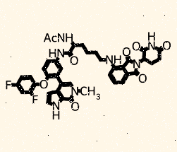 CC(=O)NC(CCCCNc1cccc2c1C(=O)N(C1CCC(=O)NC1=O)C2=O)C(=O)Nc1ccc(Oc2ccc(F)cc2F)c(-c2cn(C)c(=O)c3[nH]ccc23)c1